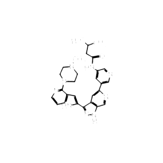 CC(C)CC(=O)Nc1cncc(-c2cc3c(-c4cc5c(N6CCN(C)CC6)nccc5[nH]4)n[nH]c3cn2)c1